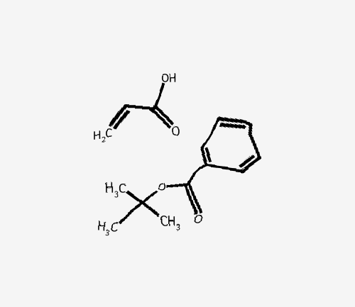 C=CC(=O)O.CC(C)(C)OC(=O)c1ccccc1